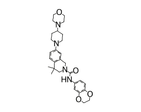 CC1(C)CN(C(=O)Nc2ccc3c(c2)OCCO3)Cc2cc(N3CCC(N4CCOCC4)CC3)ccc21